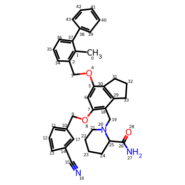 Cc1c(COc2cc(OCc3cccc(C#N)c3)c(CN3CCCCC3C(N)=O)c3c2CCC3)cccc1-c1ccccc1